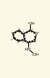 ONc1cnc(O)c2ccccc12